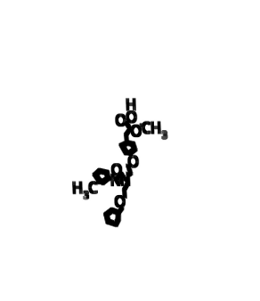 CCOC(Cc1ccc(OCCN(CCCOCc2ccccc2)C(=O)Nc2cccc(C)c2)cc1)C(=O)O